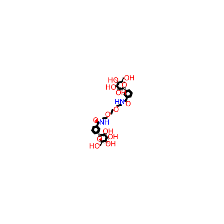 O=C(NCCOCCOCCNC(=O)c1cccc([C@H]2O[C@H](CO)[C@@H](O)[C@H](O)[C@@H]2O)c1)c1cccc([C@H]2O[C@H](CO)[C@@H](O)[C@H](O)[C@H]2O)c1